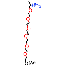 COCCOCCOCCOCCOCCOCCOCC(C)N